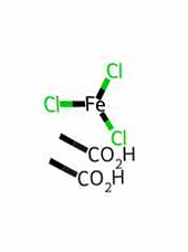 CC(=O)O.CC(=O)O.[Cl][Fe]([Cl])[Cl]